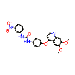 COc1cc2nccc(Oc3ccc(NC(=O)Nc4cccc([N+](=O)[O-])c4)cc3)c2cc1OC